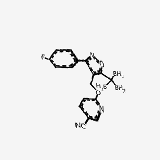 BC(B)(B)c1onc(-c2ccc(F)cc2)c1COc1ccc(C#N)cn1